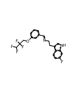 Fc1ccc2c(CC/N=C/c3cccc(OCC(F)(F)C(F)F)c3)c[nH]c2c1